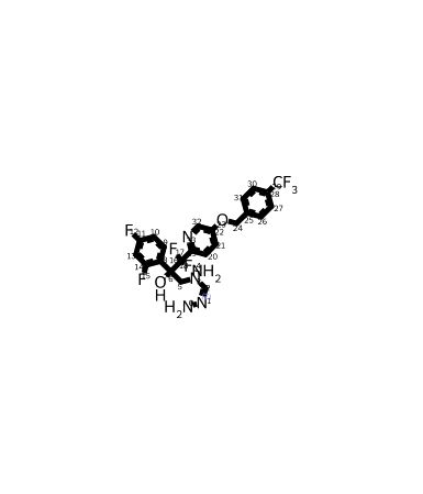 N/N=C\N(N)CC(O)(c1ccc(F)cc1F)C(F)(F)c1ccc(OCc2ccc(C(F)(F)F)cc2)cn1